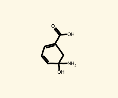 NC1(O)C=CC=C(C(=O)O)C1